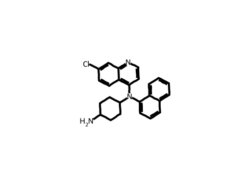 NC1CCC(N(c2cccc3ccccc23)c2ccnc3cc(Cl)ccc23)CC1